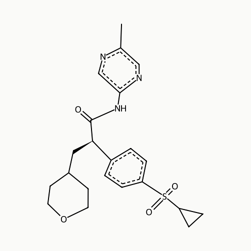 Cc1cnc(NC(=O)[C@H](CC2CCOCC2)c2ccc(S(=O)(=O)C3CC3)cc2)cn1